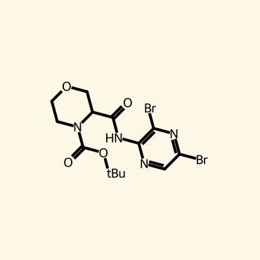 CC(C)(C)OC(=O)N1CCOCC1C(=O)Nc1ncc(Br)nc1Br